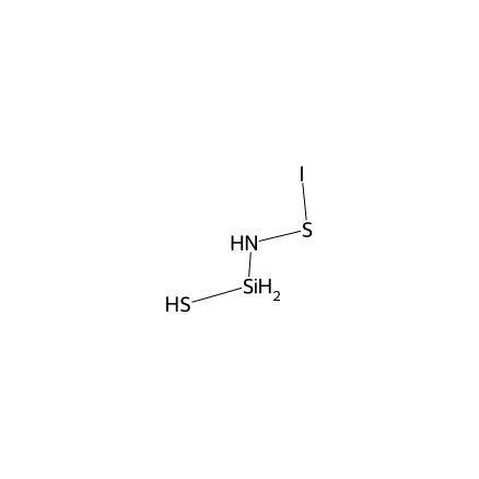 S[SiH2]NSI